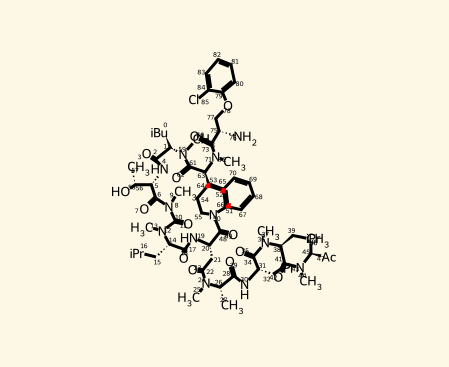 CC[C@H](C)[C@@H](C(=O)N[C@H](C(=O)N(C)C(=O)N(C)[C@@H](CC(C)C)C(=O)N[C@@H](CC(=O)N(C)[C@@H](C)C(=O)N[C@@H](CC(C)C)C(=O)N(C)[C@@H](CC(C)C)C(=O)N(C)[C@@H](C)C(C)=O)C(=O)N1CCCCC1)[C@@H](C)O)N(C)C(=O)[C@H](Cc1ccccc1)N(C)C(=O)[C@@H](N)COc1ccccc1Cl